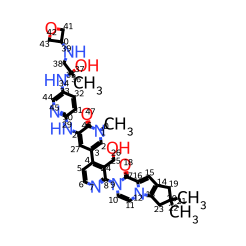 Cn1cc(-c2ccnc(-n3ccn4c5c(cc4c3=O)CC(C)(C)C5)c2CO)cc(Nc2ccc(NC(C)(O)CNC3COC3)cn2)c1=O